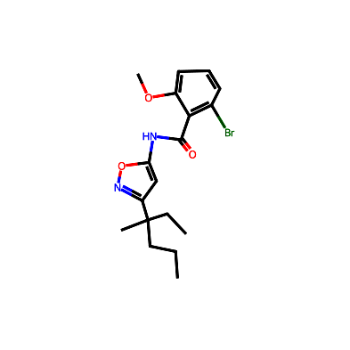 CCCC(C)(CC)c1cc(NC(=O)c2c(Br)cccc2OC)on1